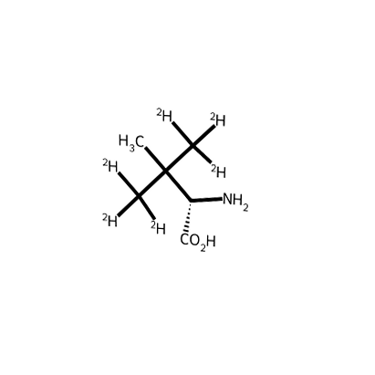 [2H]C([2H])([2H])C(C)([C@H](N)C(=O)O)C([2H])([2H])[2H]